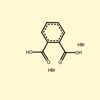 Br.Br.O=C(O)c1ccccc1C(=O)O